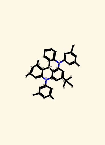 Cc1cc(C)cc(N2c3ccccc3B3c4c(C)cc(C)cc4N(c4cc(C)cc(C)c4)c4cc(C(C)(C)C)cc2c43)c1